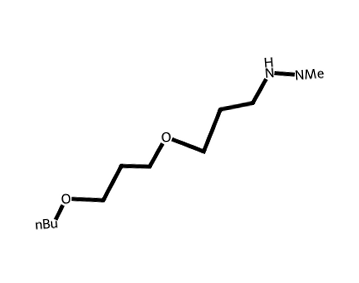 CCCCOCCCOCCCNNC